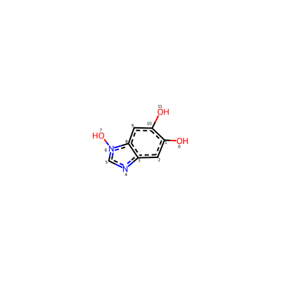 Oc1cc2ncn(O)c2cc1O